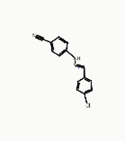 N#Cc1ccc(N/N=C/c2ccc(Cl)cc2)cc1